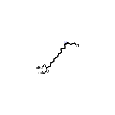 CCCCOC(CCCCCCCCC/C=C\CCCl)OCCCC